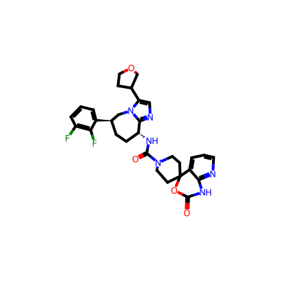 O=C1Nc2ncccc2C2(CCN(C(=O)N[C@@H]3CC[C@@H](c4cccc(F)c4F)Cn4c(C5CCOC5)cnc43)CC2)O1